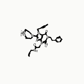 C#CCNC(=O)Cn1c(=O)n(CCc2ccccc2)c(=O)c2c1nc(N1CCNCC1)n2CC#CC